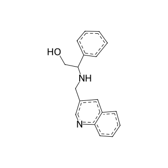 OCC(NCc1cnc2ccccc2c1)c1ccccc1